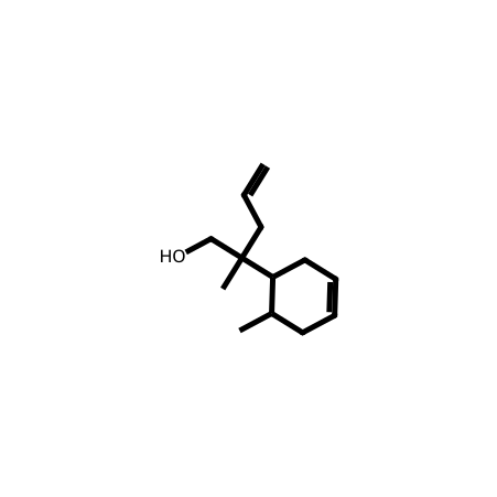 C=CCC(C)(CO)C1CC=CCC1C